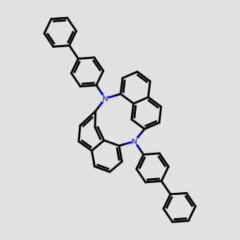 c1ccc(-c2ccc(-n3c4ccc5cccc(c5c4)n(-c4ccc(-c5ccccc5)cc4)c4ccc5cccc3c5c4)cc2)cc1